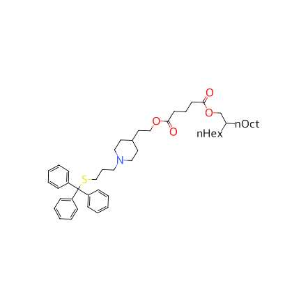 CCCCCCCCC(CCCCCC)COC(=O)CCCC(=O)OCCC1CCN(CCCSC(c2ccccc2)(c2ccccc2)c2ccccc2)CC1